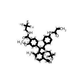 C=CC(=O)Nc1ccc(-c2c(-c3ccc(C(=O)NCC(F)(F)F)c(OC)c3)c3c(N)ncc(C#N)c3n2CC(F)(F)F)cc1